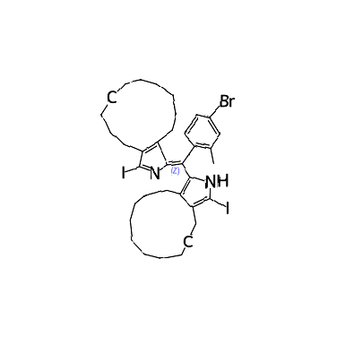 Cc1cc(Br)ccc1/C(=C1/N=C(I)C2=C1CCCCCCCCCC2)c1[nH]c(I)c2c1CCCCCCCCCC2